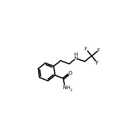 NC(=O)c1ccccc1CCNCC(F)(F)F